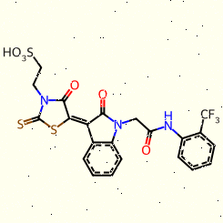 O=C(CN1C(=O)C(=C2SC(=S)N(CCS(=O)(=O)O)C2=O)c2ccccc21)Nc1ccccc1C(F)(F)F